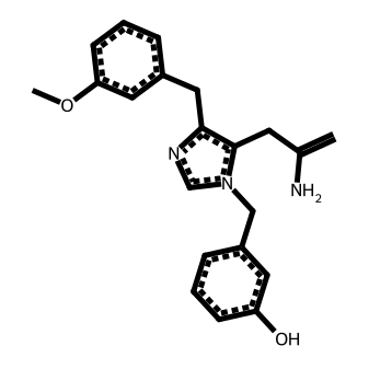 C=C(N)Cc1c(Cc2cccc(OC)c2)ncn1Cc1cccc(O)c1